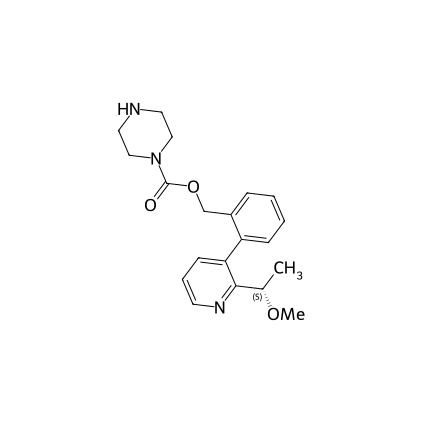 CO[C@@H](C)c1ncccc1-c1ccccc1COC(=O)N1CCNCC1